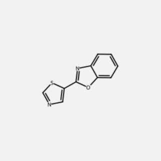 c1ccc2oc(-c3cncs3)nc2c1